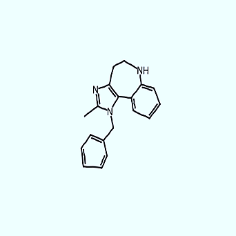 Cc1nc2c(n1Cc1ccccc1)-c1ccccc1NCC2